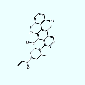 C=CC(=O)N1CCN(c2ncnc3c(F)c(-c4c(O)cccc4F)c(Cl)c(OCC)c23)C(C)C1